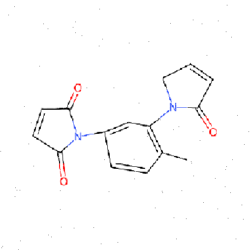 Cc1ccc(N2C(=O)C=CC2=O)cc1N1CC=CC1=O